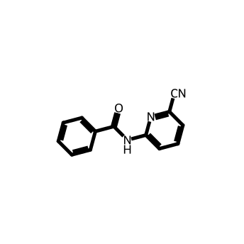 N#Cc1cccc(NC(=O)c2ccccc2)n1